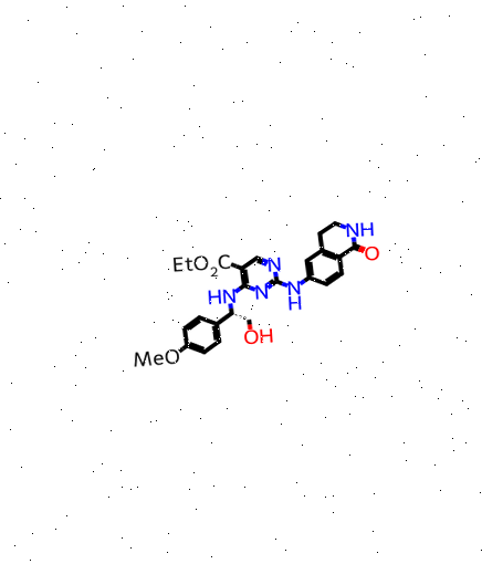 CCOC(=O)c1cnc(Nc2ccc3c(c2)CCNC3=O)nc1N[C@H](CO)c1ccc(OC)cc1